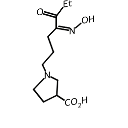 CCC(=O)C(CCCN1CCC(C(=O)O)C1)=NO